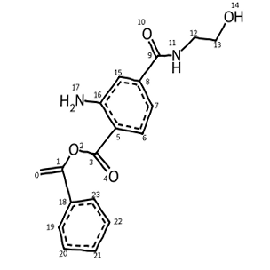 C=C(OC(=O)c1ccc(C(=O)NCCO)cc1N)c1ccccc1